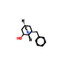 OC1C[C@H]2CC[C@H]1N(Cc1ccccc1)C2